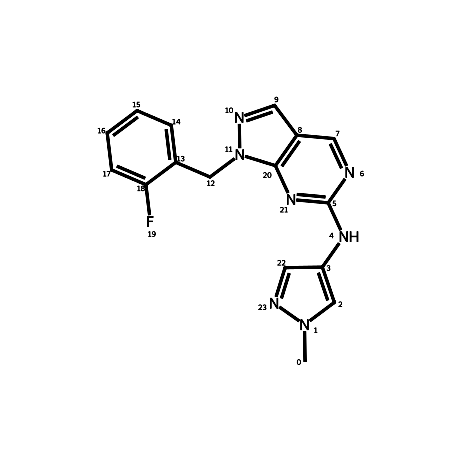 Cn1cc(Nc2ncc3cnn(Cc4ccccc4F)c3n2)cn1